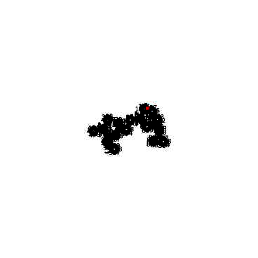 c1ccc(-c2nc(-c3cccc(-c4cccc5c4c4ccccc4n5-c4ccc5c(c4)C(c4nc(-c6ccccc6)nc(-c6ccccc6)n4)c4ccc6sc7ccccc7c6c4-5)c3)nc(-c3cccc(-n4c5cc(-n6c7ccccc7c7ccccc76)ccc5c5ccc6c7ccccc7sc6c54)c3)n2)cc1